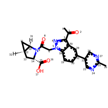 CC(=O)c1nn(CC(=O)N2[C@@H]3C[C@@H]3C[C@H]2C(=O)O)c2ccc(-c3cnc(C)nc3)cc12